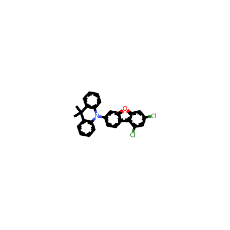 CC1(C)c2ccccc2N(c2ccc3c(c2)oc2cc(Cl)cc(Cl)c23)c2ccccc21